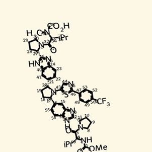 COC(=O)N[C@H](C(=O)N1CCC[C@H]1c1nc2cc([C@H]3CC[C@H](c4ccc5nc([C@@H]6CCCN6C(=O)[C@H](C(C)C)N(C)C(=O)O)[nH]c5c4)N3c3cnc(-c4ccc(C(F)(F)F)cc4)s3)ccc2[nH]1)C(C)C